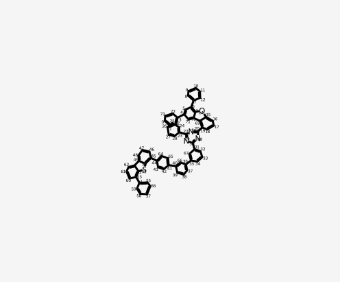 c1ccc(-c2cc(-c3ccccc3)c3oc4cccc(-c5nc(-c6ccccc6)nc(-c6cccc(-c7cccc(-c8ccc(-c9cccc%10c9sc9c(-c%11ccccc%11)cccc9%10)cc8)c7)c6)n5)c4c3c2)cc1